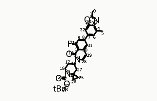 Cc1nc2c(C)cc(-c3cc(F)c4c(=O)n(C5CCN(C(=O)OC(C)(C)C)C6(CC6)C5)ccc4c3)cc2o1